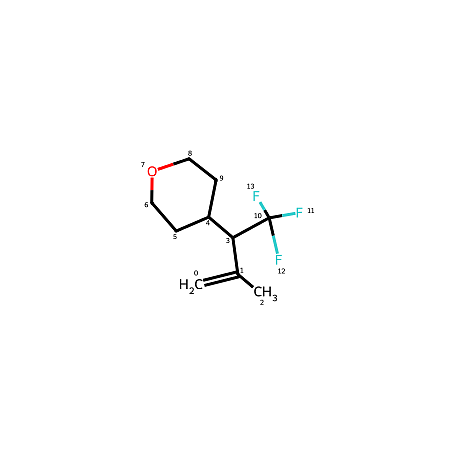 C=C(C)C(C1CCOCC1)C(F)(F)F